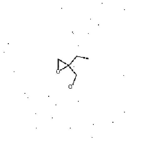 CCC1(CCl)CO1